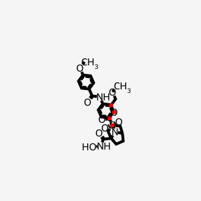 COCCOC(=O)N1CC2CCC(C(=O)NO)(C1)N2S(=O)(=O)c1ccc(NC(=O)c2ccc(OC)cc2)cc1